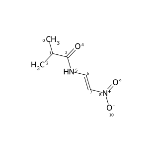 CC(C)C(=O)NC=C[N+](=O)[O-]